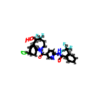 O=C(Nc1ccc(C(=O)N2CCC(F)(F)[C@@H](O)c3cc(Cl)ccc32)cn1)c1ccccc1C(F)(F)F